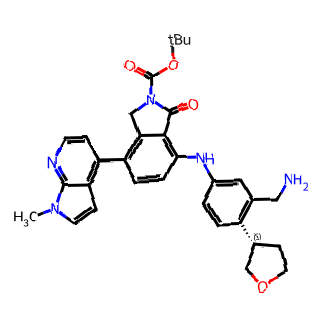 Cn1ccc2c(-c3ccc(Nc4ccc([C@@H]5CCOC5)c(CN)c4)c4c3CN(C(=O)OC(C)(C)C)C4=O)ccnc21